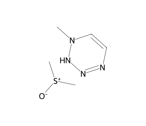 CN1C=CN=NN1.C[S+](C)[O-]